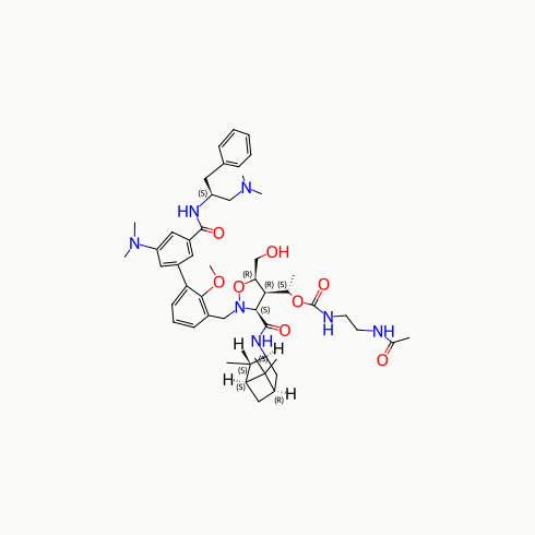 COc1c(CN2O[C@@H](CO)[C@@H]([C@H](C)OC(=O)NCCNC(C)=O)[C@H]2C(=O)N[C@H]2C[C@H]3C[C@@H]([C@@H]2C)C3(C)C)cccc1-c1cc(C(=O)N[C@@H](Cc2ccccc2)CN(C)C)cc(N(C)C)c1